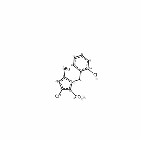 CCCCc1nc(Cl)c(C(=O)O)n1Cc1ccccc1Cl